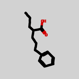 CCCC(CCCc1ccccc1)C(=O)O